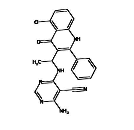 CC(Nc1ncnc(N)c1C#N)c1c(-c2ccccc2)[nH]c2cccc(Cl)c2c1=O